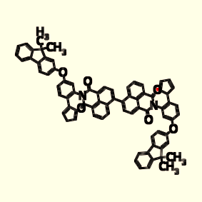 CC1(C)c2ccccc2-c2ccc(Oc3ccc(C4=CCC=C4)c(N4C(=O)c5cccc6c(-c7ccc8c9c(cccc79)C(=O)N(c7cc(Oc9ccc%10c(c9)C(C)(C)c9ccccc9-%10)ccc7C7C=CC=C7)C8=O)ccc(c56)C4=O)c3)cc21